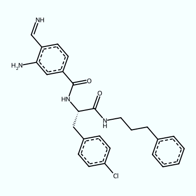 N=Cc1ccc(C(=O)N[C@@H](Cc2ccc(Cl)cc2)C(=O)NCCCc2ccccc2)cc1N